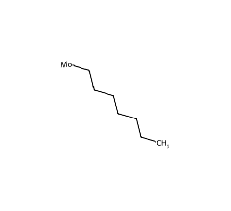 CCCCCC[CH2][Mo]